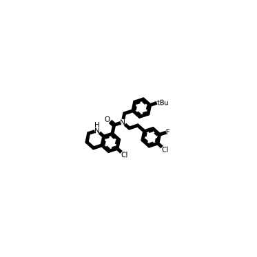 CC(C)(C)c1ccc(CN(CCc2ccc(Cl)c(F)c2)C(=O)c2cc(Cl)cc3c2NCCC3)cc1